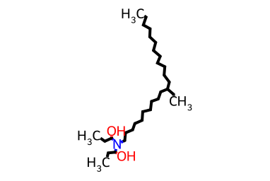 CCCCCCCCCCCCC(CC)CCCCCCCCCCN(C(O)CC)C(O)CC